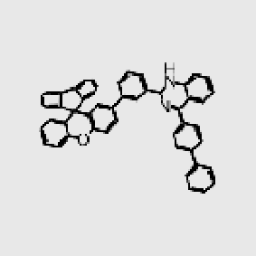 c1ccc(-c2ccc(C3=NC(c4cccc(-c5ccc6c(c5)C5(c7ccccc7O6)c6ccccc6-c6ccccc65)c4)Nc4ccccc43)cc2)cc1